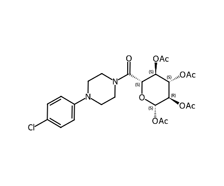 CC(=O)O[C@@H]1O[C@H](C(=O)N2CCN(c3ccc(Cl)cc3)CC2)[C@@H](OC(C)=O)[C@H](OC(C)=O)[C@H]1OC(C)=O